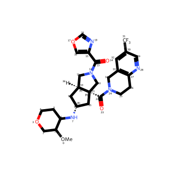 COC1COCCC1N[C@@H]1C[C@H]2CN(C(=O)c3cocn3)C[C@@]2(C(=O)N2CCc3ncc(C(F)(F)F)cc3C2)C1